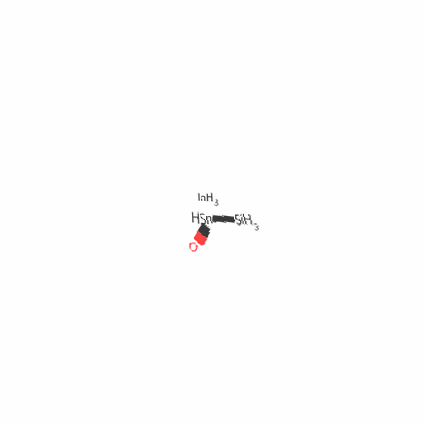 [InH3].[O]=[SnH][SiH3]